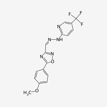 COc1ccc(-c2nc(/C=N\Nc3ccc(C(F)(F)F)cn3)no2)cc1